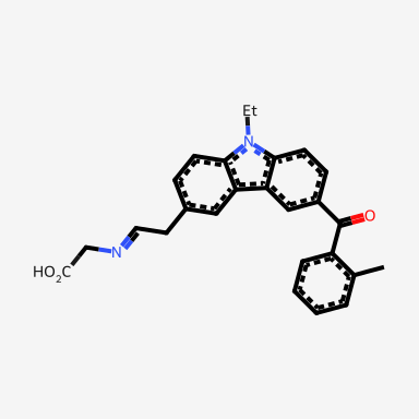 CCn1c2ccc(CC=NCC(=O)O)cc2c2cc(C(=O)c3ccccc3C)ccc21